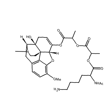 COc1ccc2c3c1O[C@H]1C(OC(=O)C(C)OC(=O)C(C)OC(=O)C(CCCCN)NC(C)=O)=CC[C@@]4(O)[C@@H](C2)N(C)CC[C@]314